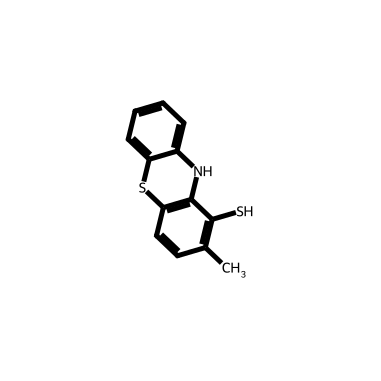 Cc1ccc2c(c1S)Nc1ccccc1S2